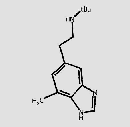 Cc1cc(CCNC(C)(C)C)cc2nc[nH]c12